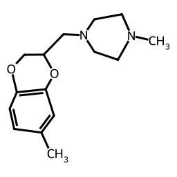 Cc1ccc2c(c1)OC(CN1CCN(C)CC1)CO2